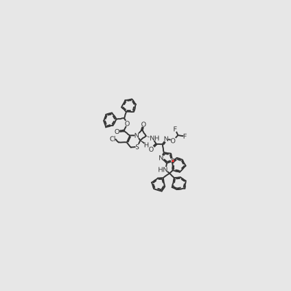 O=C(N[C@H]1C(=O)N2C(C(=O)OC(c3ccccc3)c3ccccc3)=C(CCl)CS[C@@H]12)C(=NOC(F)F)c1csc(NC(c2ccccc2)(c2ccccc2)c2ccccc2)n1